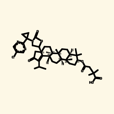 CC(C)C1=C2[C@H]3CC[C@@H]4[C@@]5(C)CC[C@H](OC(=O)CC(C)(C)C(=O)O)C(C)(C)[C@@H]5CC[C@@]4(C)[C@]3(C)CC[C@@]2(C2CN(C3(c4ncc(Cl)cn4)CC3)C(=O)O2)CC1=O